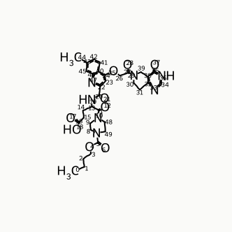 CCCCOC(=O)N1CCN(C(=O)C(CCC(=O)O)NC(=O)c2cc(OCC(=O)N3CCc4nc[nH]c(=O)c4C3)c3ccc(C)cc3n2)CC1